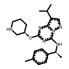 Cc1ccc([C@H](C)Nc2nc(O[C@@H]3CCCNC3)nc3c(C(C)C)cnn23)cc1